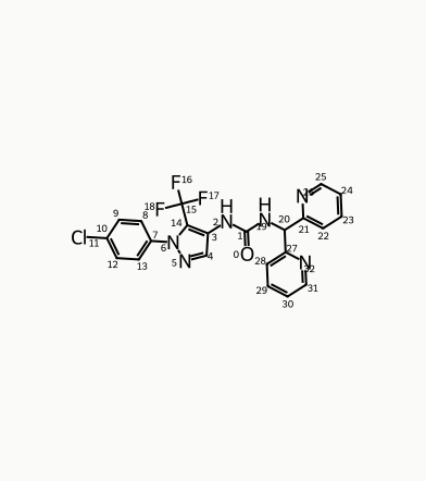 O=C(Nc1cnn(-c2ccc(Cl)cc2)c1C(F)(F)F)NC(c1ccccn1)c1ccccn1